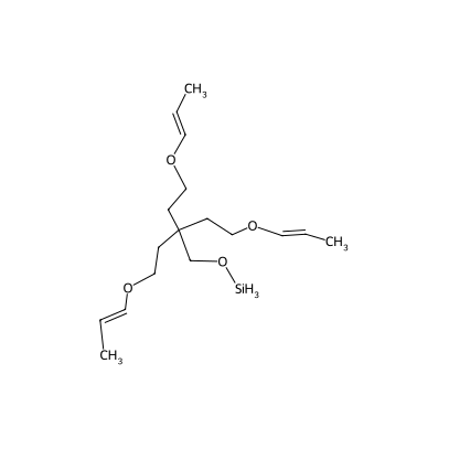 CC=COCCC(CCOC=CC)(CCOC=CC)CO[SiH3]